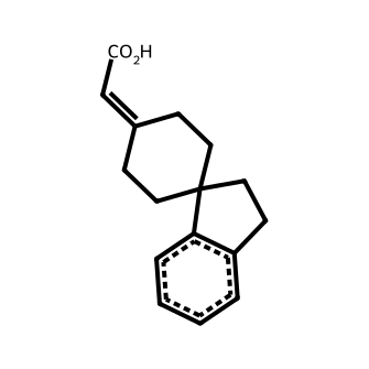 O=C(O)C=C1CCC2(CC1)CCc1ccccc12